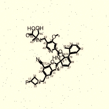 COc1cc(C(=O)NC2(c3nc4cc(CN5CC(F)C5)cc(C#N)c4o3)C=CC=C(c3ccccc3C)C2Cl)ncc1CNC(C)(CO)C(=O)O